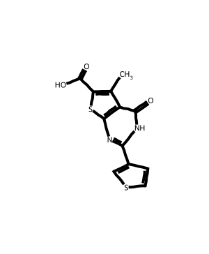 Cc1c(C(=O)O)sc2nc(-c3ccsc3)[nH]c(=O)c12